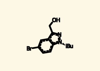 CC[C@@H](C)n1nc(CO)c2cc(Br)ccc21